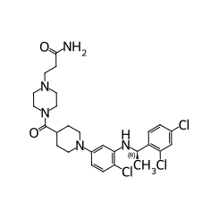 C[C@@H](Nc1cc(N2CCC(C(=O)N3CCN(CCC(N)=O)CC3)CC2)ccc1Cl)c1ccc(Cl)cc1Cl